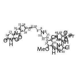 COc1cc(C2CCN(CCCC#Cc3ccc4c(c3)C(=O)N(C3CCC(=O)NC3=O)C4)CC2)c(C)cc1Nc1ncc(Cl)c(Nc2ccccc2S(=O)(=O)C(C)C)n1